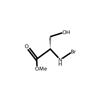 COC(=O)[C@H](CO)NBr